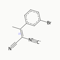 [C-]#[N+]/C(C#N)=C(/C)c1cccc(Br)c1